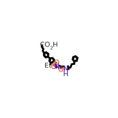 CCc1cc(-c2ccc(CCCC(=O)O)cc2)ccc1S(=O)(=O)N(C)CC(O)CNC(C)(C)CCCc1ccccc1